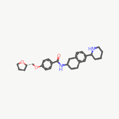 O=C(NC1CCc2cc(C3CCCCN3)ccc2C1)c1ccc(OC[C@@H]2CCCO2)cc1